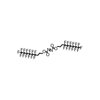 O=C(/N=N/C(=O)OCCCC(F)(F)C(F)(F)C(F)(F)C(F)(F)C(F)(F)C(F)(F)F)OCCCC(F)(F)C(F)(F)C(F)(F)C(F)(F)C(F)(F)C(F)(F)F